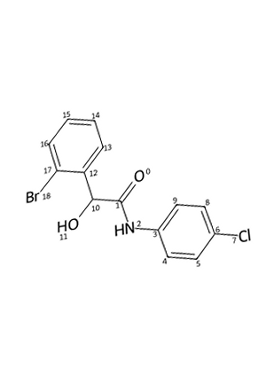 O=C(Nc1ccc(Cl)cc1)C(O)c1ccccc1Br